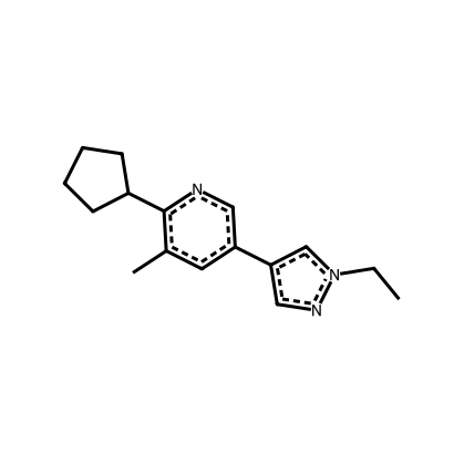 CCn1cc(-c2cnc(C3CCCC3)c(C)c2)cn1